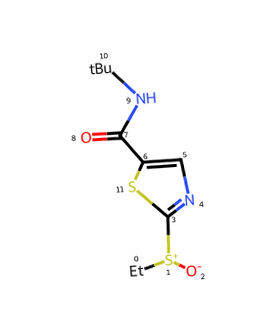 CC[S+]([O-])c1ncc(C(=O)NC(C)(C)C)s1